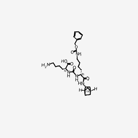 NCCCC[C@H](NC(=O)N[C@H](CCCCNC(=O)OCc1ccccc1)C(=O)NC1C[C@@H]2CC[C@H]1C2)C(=O)O